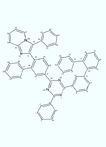 c1ccc(-c2nc(-c3cccc(-c4ccccc4-c4ccccc4)c3)nc(-c3ccc(-c4nc5ccccn5c4-c4ccccc4)c(-c4ccccc4)c3)n2)cc1